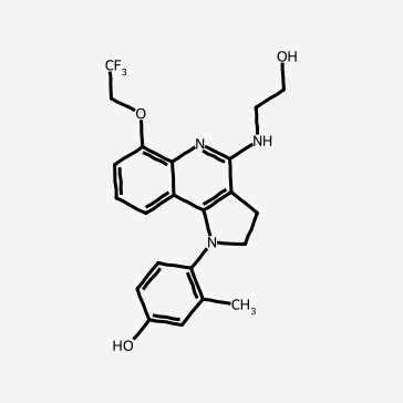 Cc1cc(O)ccc1N1CCc2c(NCCO)nc3c(OCC(F)(F)F)cccc3c21